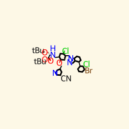 CC(C)(C)OC[C@H](NCc1cc(Cl)c(Cn2ncc3c(-c4cccc(Br)c4Cl)cccc32)cc1OCc1cncc(C#N)c1)C(=O)OC(C)(C)C